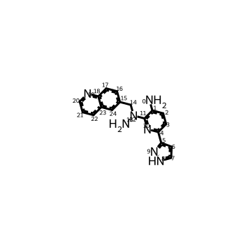 Nc1ccc(-c2cc[nH]n2)nc1N(N)Cc1ccc2ncccc2c1